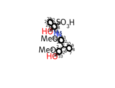 COc1cc(C(c2ccccc2)c2ccc(/N=N/c3cc(S(=O)(=O)O)c4ccccc4c3O)c(OC)c2)ccc1O